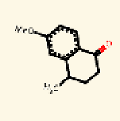 COc1ccc2c(c1)C(C)CCC2=O